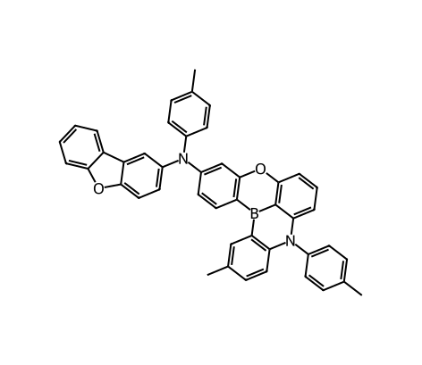 Cc1ccc(N(c2ccc3c(c2)Oc2cccc4c2B3c2cc(C)ccc2N4c2ccc(C)cc2)c2ccc3oc4ccccc4c3c2)cc1